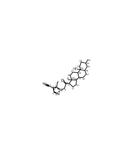 Cc1c(C#N)cnn1CC(=O)C1CCC2C3CCC4CC(C)CCC4(F)C3CCC12C